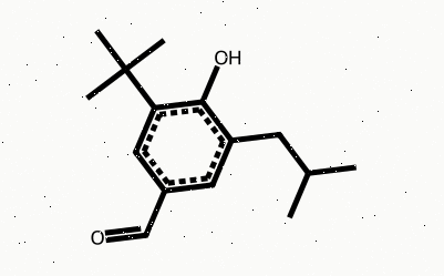 CC(C)Cc1cc(C=O)cc(C(C)(C)C)c1O